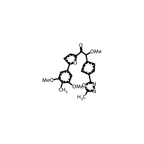 COc1cc(-c2ccc(C(=O)C(OC)c3ccc(-c4nnc(C)o4)cc3)o2)cc(OC)c1C